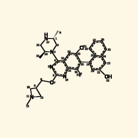 C[C@@H]1CN(c2nc(OCC3CN(C)C3)nc3c(F)c(-c4cc(O)cc5ccccc45)c(Cl)cc23)[C@@H](C)CN1